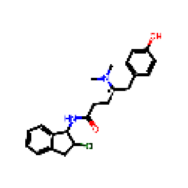 CN(C)[C@H](CCC(=O)NC1c2ccccc2CC1Cl)Cc1ccc(O)cc1